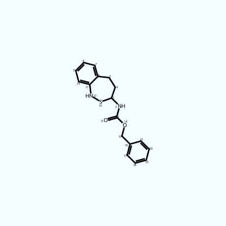 O=C(NC1CCc2ccccc2NS1)OCc1ccccc1